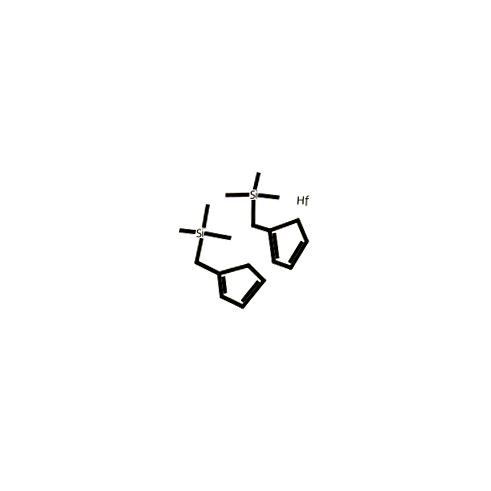 C[Si](C)(C)CC1=CC=CC1.C[Si](C)(C)CC1=CC=CC1.[Hf]